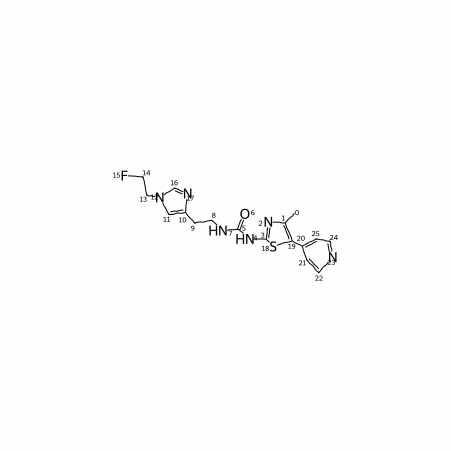 Cc1nc(NC(=O)NCCc2cn(CCF)cn2)sc1-c1ccncc1